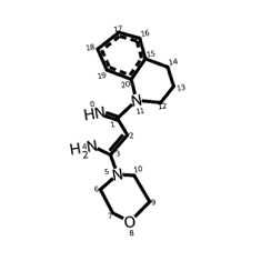 N=C(/C=C(\N)N1CCOCC1)N1CCCc2ccccc21